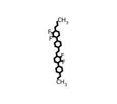 CCCCC1CCC(C2CCC(CCC3CCC(C4CCC(CCC)CC4)C(F)C3F)CC2)C(F)[C@H]1F